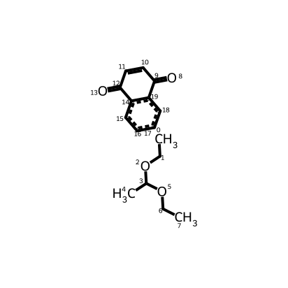 CCOC(C)OCC.O=C1C=CC(=O)c2ccccc21